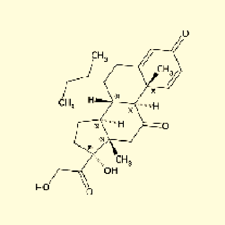 CCCC.C[C@]12C=CC(=O)C=C1CC[C@@H]1[C@@H]2C(=O)C[C@@]2(C)[C@H]1CC[C@]2(O)C(=O)CO